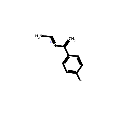 C=C(/N=C/N)c1ccc(F)cc1